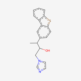 CC(c1ccc2sc3ccccc3c2c1)C(O)Cn1ccnc1